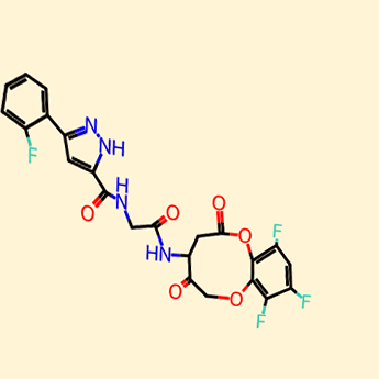 O=C(CNC(=O)c1cc(-c2ccccc2F)n[nH]1)NC1CC(=O)Oc2c(F)cc(F)c(F)c2OCC1=O